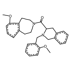 COc1ccccc1CN1Cc2ccccc2CC1C(=O)N1CCc2cccc(OC)c2CC1